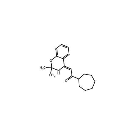 CC1(C)N/C(=C\C(=O)C2CCCCCC2)c2ccccc2O1